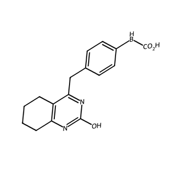 O=C(O)Bc1ccc(Cc2nc(O)nc3c2CCCC3)cc1